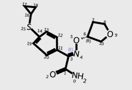 NC(=O)/C(=N/O[C@@H]1CCOC1)c1ccc(SC2CC2)cc1